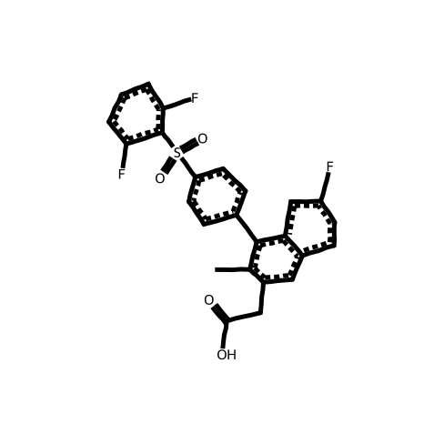 Cc1c(CC(=O)O)cc2ccc(F)cc2c1-c1ccc(S(=O)(=O)c2c(F)cccc2F)cc1